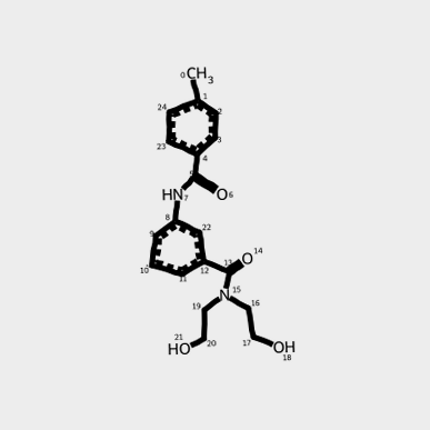 Cc1ccc(C(=O)Nc2c[c]cc(C(=O)N(CCO)CCO)c2)cc1